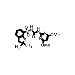 COc1cc(OC)nc(NC(=O)NS(=O)(=O)c2cccc3c2SC(C)(C)C3)n1